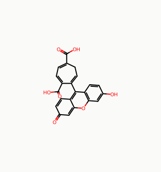 O=C(O)C1=CC=C(C(=O)O)C(c2c3ccc(=O)cc-3oc3cc(O)ccc23)=CC1